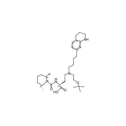 C[C@@H]1CCC[C@@H](C)N1C(=O)N[C@@H](CCN(CCCCc1ccc2c(n1)NCCC2)CCOC(C)(C)C)C(=O)O